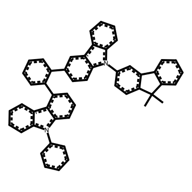 CC1(C)c2ccccc2-c2cc(-n3c4ccccc4c4cc(-c5ccccc5-c5cccc6c5c5ccccc5n6-c5ccccc5)ccc43)ccc21